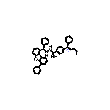 C/C=C\C=C(/c1ccccc1)c1ccc(C(=N)NNC(c2ccccc2)c2cccc3oc4c(-c5ccccc5)cccc4c23)cc1